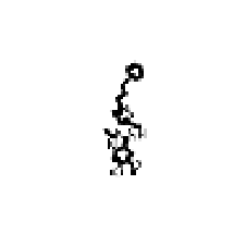 COc1cc2nc(C)nc(NC(C)c3ccc(/C=C/Cc4ccccc4)s3)c2cc1OC